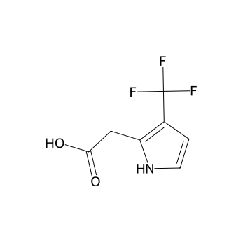 O=C(O)Cc1[nH]ccc1C(F)(F)F